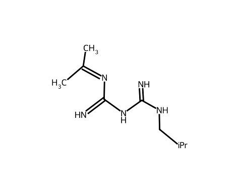 CC(C)=NC(=N)NC(=N)NCC(C)C